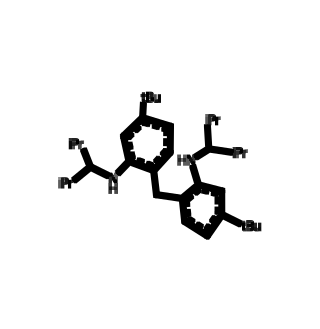 CC(C)C(Nc1cc(C(C)(C)C)ccc1Cc1ccc(C(C)(C)C)cc1NC(C(C)C)C(C)C)C(C)C